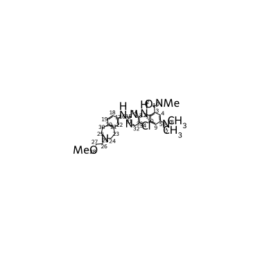 CNC(=O)c1cc(N(C)C)ccc1Nc1nc(Nc2ccc3c(c2)CCN(CCOC)CC3)ncc1Cl